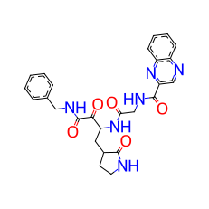 O=C(CNC(=O)c1cnc2ccccc2n1)NC(CC1CCNC1=O)C(=O)C(=O)NCc1ccccc1